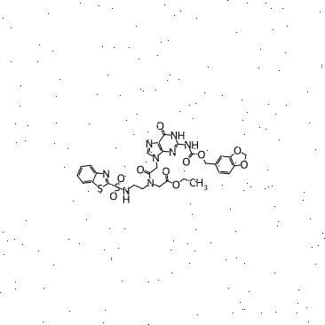 CCOC(=O)CN(CCNS(=O)(=O)c1nc2ccccc2s1)C(=O)Cn1cnc2c(=O)[nH]c(NC(=O)OCc3ccc4c(c3)OCO4)nc21